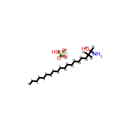 CCCCCCCCCCCCCCCCCC(C)(C)C(C)(N)O.[O-][Cl+3]([O-])([O-])O